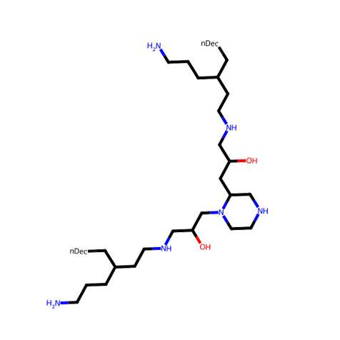 CCCCCCCCCCCC(CCCN)CCNCC(O)CC1CNCCN1CC(O)CNCCC(CCCN)CCCCCCCCCCC